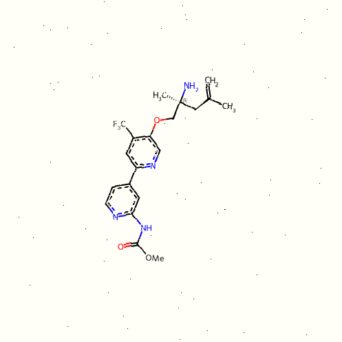 C=C(C)C[C@](C)(N)COc1cnc(-c2ccnc(NC(=O)OC)c2)cc1C(F)(F)F